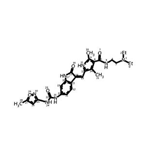 CCN(CC)CCNC(=O)c1c(C)[nH]c(C=C2C(=O)Nc3cc(NC(=O)Nc4cc(C)on4)ccc32)c1C